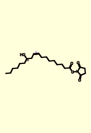 CCCCCC[C@@H](O)C/C=C\CCCCCCCC(=O)ON1C(=O)CCC1=O